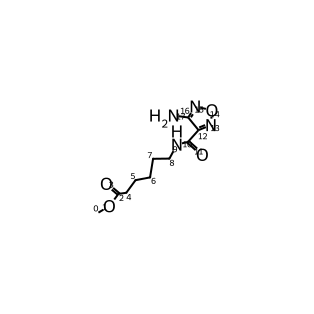 COC(=O)CCCCCNC(=O)c1nonc1N